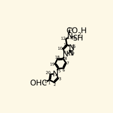 O=Cc1ccn(-c2ccc(-n3cc(CN(S)C(=O)O)nn3)cc2)c1